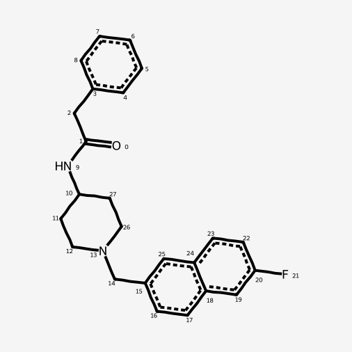 O=C(Cc1ccccc1)NC1CCN(Cc2ccc3cc(F)ccc3c2)CC1